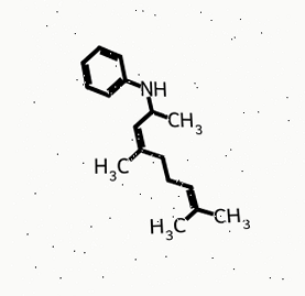 CC(C)=CCCC(C)=CC(C)Nc1ccccc1